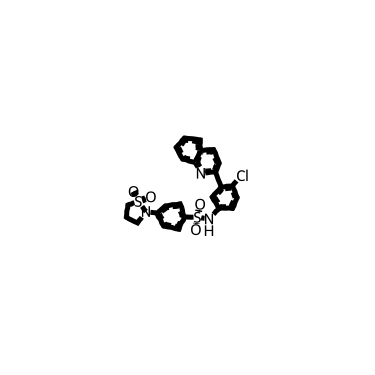 O=S(=O)(Nc1ccc(Cl)c(-c2ccc3ccccc3n2)c1)c1ccc(N2CCCS2(=O)=O)cc1